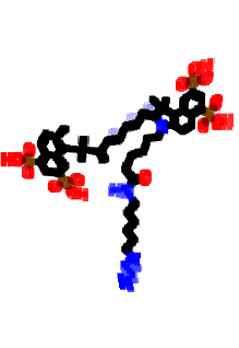 C=C(/C=C/C=C/C=C1\N(CCCCCC(=O)NCCCCCCN=[N+]=[N-])c2ccc3c(S(=O)(=O)O)cc(S(=O)(=O)O)cc3c2C1(C)C)C(C)(C)c1c(C)ccc2c(S(=O)(=O)O)cc(S(=O)(=O)O)cc12